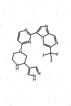 FC(F)(F)c1cn2c(-c3nccc(N4CCNC(c5cn[nH]c5)C4)n3)cnc2cn1